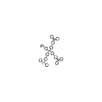 CC(C)c1ccc(/C(=C(\c2ccc(C3C=CC(N(C4=CCCC=C4)c4ccccc4)=CC3)cc2)c2ccc(C3C=CC(N(c4ccccc4)c4ccccc4)=CC3)cc2)c2ccc(C3=CC=C(C(C4=CC=CCC4)C(C)C4=CCCC=C4)CC3)cc2)cc1